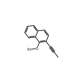 CC#Cc1ccc2ccccc2c1OCC